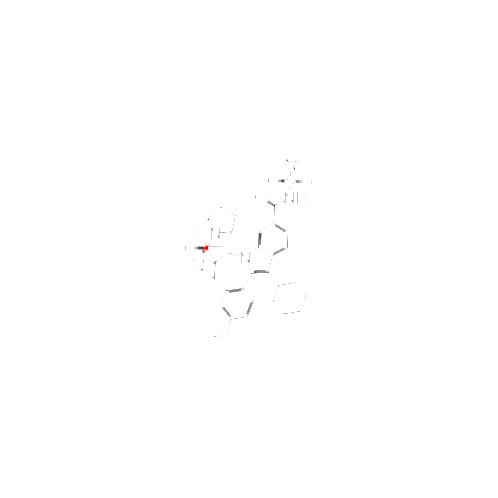 COc1ccc2c(c1)C1CC1(C(=O)N1C3CCC1CC(=O)C3)Cn1c-2c(C2CCCCC2)c2ccc(C(=O)NS(=O)(=O)N(C)C)cc21